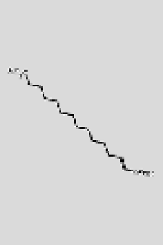 CCCCCC=CCCCCCCCCCCCC(=O)O